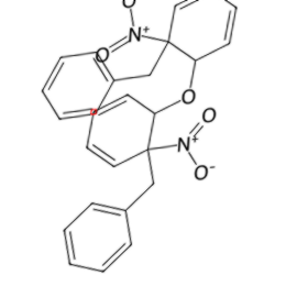 O=[N+]([O-])C1(Cc2ccccc2)C=CC=CC1OC1C=CC=CC1(Cc1ccccc1)[N+](=O)[O-]